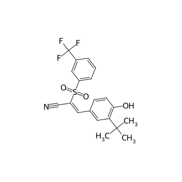 CC(C)(C)c1cc(/C=C(/C#N)S(=O)(=O)c2cccc(C(F)(F)F)c2)ccc1O